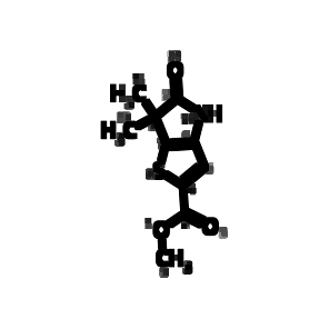 COC(=O)c1cc2c(s1)C(C)(C)C(=O)N2